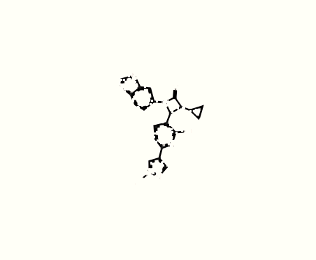 Cc1nc(-c2cnn(C)c2)ccc1C1C(C2CC2)C(=O)N1c1ccc2[nH]cnc2c1